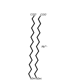 CCCCCCCCCCCCCCCCCCCCCCCC(=O)[O-].CCCCCCCCCCCCCCCCCCCCCCCC(=O)[O-].[Pb+2]